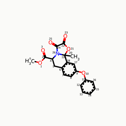 COC(=O)C1Cc2ccc(Oc3ccccc3)cc2C2(C)OC(=O)C(=O)N12